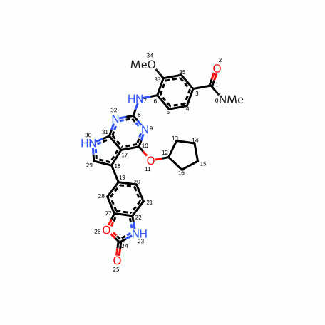 CNC(=O)c1ccc(Nc2nc(OC3CCCC3)c3c(-c4ccc5[nH]c(=O)oc5c4)c[nH]c3n2)c(OC)c1